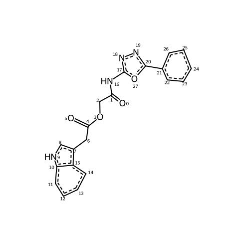 O=C(COC(=O)Cc1c[nH]c2ccccc12)Nc1nnc(-c2ccccc2)o1